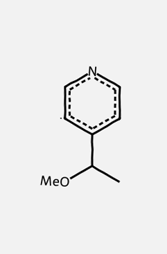 COC(C)c1[c]cncc1